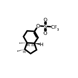 C[C@H]1CC[C@H]2C=C(OS(=O)(=O)C(F)(F)F)CC[C@@]21C